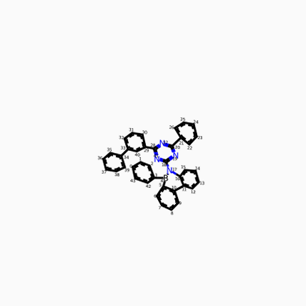 c1ccc(B2c3ccccc3-c3ccccc3N2c2nc(-c3ccccc3)nc(-c3cccc(-c4ccccc4)c3)n2)cc1